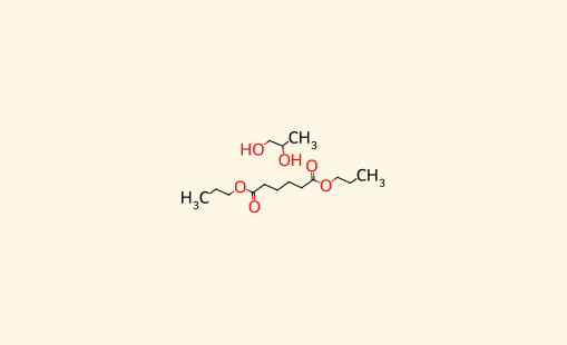 CC(O)CO.CCCOC(=O)CCCCC(=O)OCCC